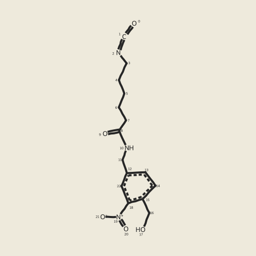 O=C=NCCCCCC(=O)NCc1ccc(CO)c([N+](=O)[O-])c1